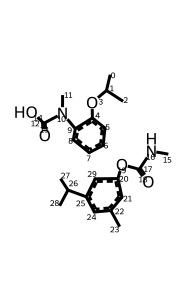 CC(C)Oc1ccccc1N(C)C(=O)O.CNC(=O)Oc1cc(C)cc(C(C)C)c1